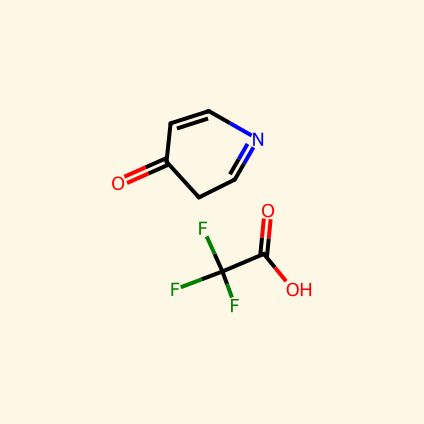 O=C(O)C(F)(F)F.O=C1C=CN=CC1